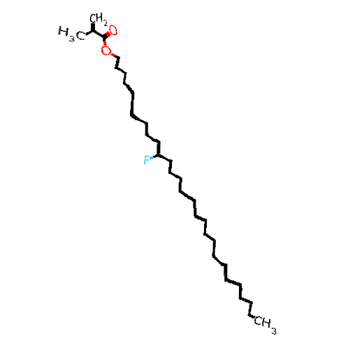 C=C(C)C(=O)OCCCCCCCCCC(F)CCCCCCCCCCCCCCCCC